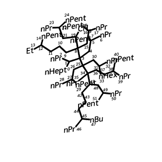 CCCCCCCC(CCC)C(CC(CCC)CCCCC)(C(CCCC(CC)CCCCC)(CC(CCC)CCCCC)C(C)CC(CCC)CCCCC)C(CC(CCC)CCCCC)(CC(CCC)CCCCCC)C(CCC)(CCC(CCC)CCCCC)[C](CCCC(CCC)CCCC)CC(CCC)CCCCC